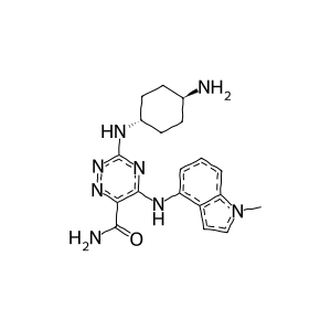 Cn1ccc2c(Nc3nc(N[C@H]4CC[C@H](N)CC4)nnc3C(N)=O)cccc21